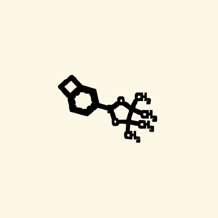 CC1(C)OB(c2ccc3c(c2)CC3)OC1(C)C